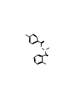 Cc1ccccc1C(=O)N(NC(=O)c1ccc(Cl)cc1)C(C)(C)C